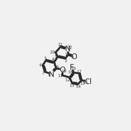 O=C1C=C(c2cccnc2OCc2ccc(Cl)cc2F)CC=N1